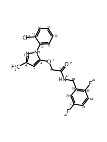 O=C(COc1cc(C(F)(F)F)nn1-c1ccccc1Cl)NCc1cc(F)ccc1F